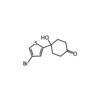 O=C1CCC(O)(c2cc(Br)cs2)CC1